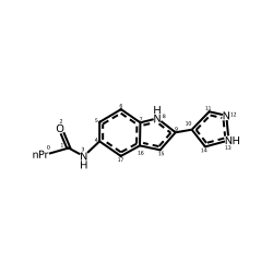 CCCC(=O)Nc1ccc2[nH]c(-c3cn[nH]c3)cc2c1